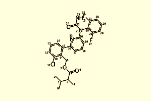 CC(C)C(C)C(=O)OCc1c(Cl)cccc1-c1cccc(N(C(N)=O)c2c(F)cccc2F)n1